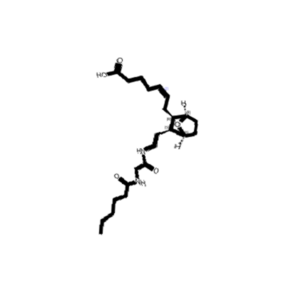 CCCCCC(=O)NCC(=O)NCC[C@H]1[C@@H](C/C=C\CCCC(=O)O)[C@H]2CC[C@@H]1O2